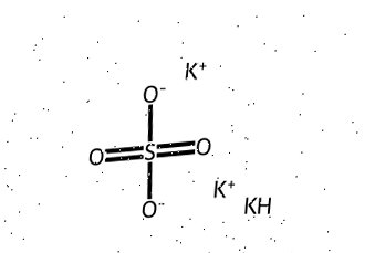 O=S(=O)([O-])[O-].[K+].[K+].[KH]